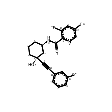 O=C(N[C@@H]1CCC[C@](O)(C#Cc2cccc(Cl)c2)C1)c1ncc(F)cc1F